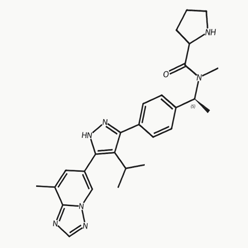 Cc1cc(-c2[nH]nc(-c3ccc([C@H](C)N(C)C(=O)C4CCCN4)cc3)c2C(C)C)cn2ncnc12